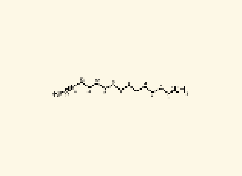 CCCCCCCCCCCCCC#C[N]